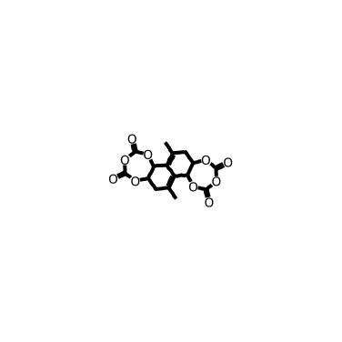 CC1=C2C(=C(C)CC3OC(=O)OC(=O)OC23)C2OC(=O)OC(=O)OC2C1